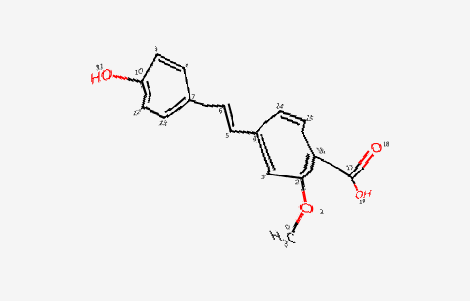 COc1cc(C=Cc2ccc(O)cc2)ccc1C(=O)O